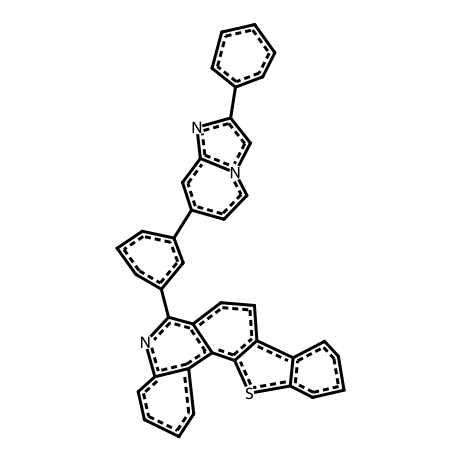 c1ccc(-c2cn3ccc(-c4cccc(-c5nc6ccccc6c6c5ccc5c7ccccc7sc56)c4)cc3n2)cc1